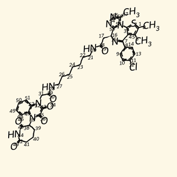 Cc1sc2c(c1C)C(c1ccc(Cl)cc1)=N[C@@H](CC(=O)NCCCCCCCNC(=O)Cn1c(=O)c(=O)n(C3CCCC(=O)NC3=O)c3ccccc31)c1nnc(C)n1-2